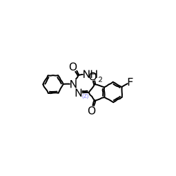 NC(=O)N(/N=c1/c(=O)c2ccc(F)cc2c1=O)c1ccccc1